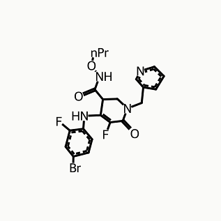 CCCONC(=O)C1CN(Cc2cccnc2)C(=O)C(F)=C1Nc1ccc(Br)cc1F